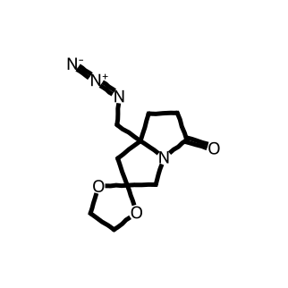 [N-]=[N+]=NCC12CCC(=O)N1CC1(C2)OCCO1